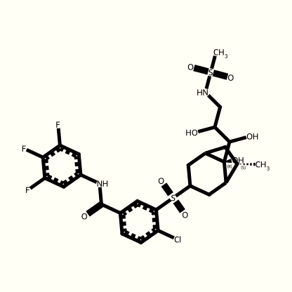 C[C@H]1CC2CC(S(=O)(=O)c3cc(C(=O)Nc4cc(F)c(F)c(F)c4)ccc3Cl)CC1[C@@]2(O)C(O)C(O)CNS(C)(=O)=O